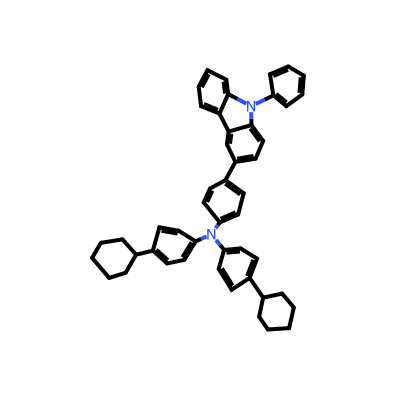 c1ccc(-n2c3ccccc3c3cc(-c4ccc(N(c5ccc(C6CCCCC6)cc5)c5ccc(C6CCCCC6)cc5)cc4)ccc32)cc1